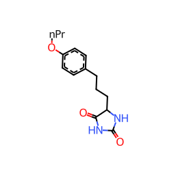 CCCOc1ccc(CCCC2NC(=O)NC2=O)cc1